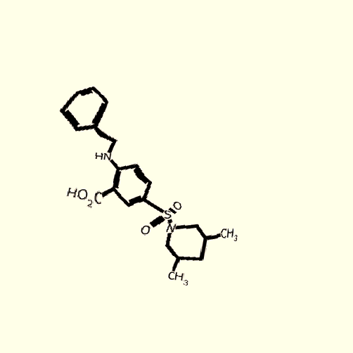 CC1CC(C)CN(S(=O)(=O)c2ccc(NCc3ccccc3)c(C(=O)O)c2)C1